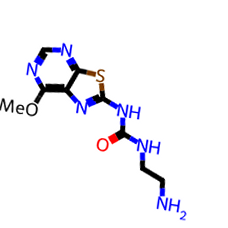 COc1ncnc2sc(NC(=O)NCCN)nc12